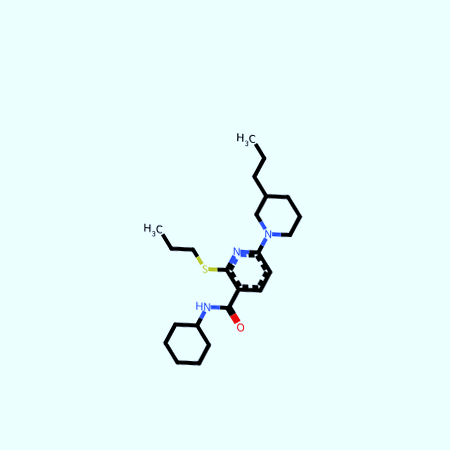 CCCSc1nc(N2CCCC(CCC)C2)ccc1C(=O)NC1CCCCC1